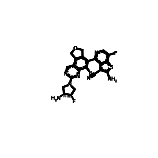 N#Cc1c(N)sc2c(F)cnc(-c3c4c(c5cnc(N6C[C@@H](F)[C@@H](N)C6)nc5c3F)COC4)c12